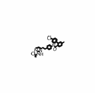 CC(=O)Nc1nccc(CCc2ccc(NC(=O)c3ccc(C)cc3-c3ccc(Cl)cc3)cc2)n1